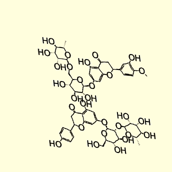 COc1ccc([C@@H]2CC(=O)c3c(O)cc(O[C@@H]4O[C@H](CO[C@@H]5O[C@@H](C)[C@H](O)[C@@H](O)[C@H]5O)[C@@H](O)[C@H](O)[C@H]4O)cc3O2)cc1O.C[C@@H]1O[C@@H](O[C@H]2[C@H](Oc3cc(O)c4c(c3)OC(c3ccc(O)cc3)CC4=O)O[C@H](CO)[C@@H](O)[C@@H]2O)[C@H](O)[C@H](O)[C@H]1O